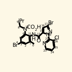 Cc1cc(Br)cc(N(CC(C)C)C(=O)O)c1NC(=O)c1cc(Br)nn1-c1ncccc1Cl